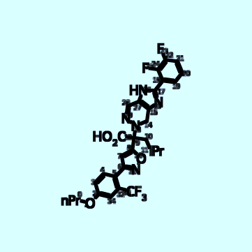 CCCOc1ccc(-c2cc(C(CC(C)C)(C(=O)O)N3Cc4nc(-c5cccc(F)c5F)[nH]c4C=N3)on2)c(C(F)(F)F)c1